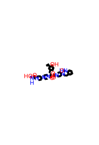 C=Cc1cc(C[C@@H](OC(=O)N2CCC(N3CCc4ccccc4NC3=O)CC2)C(=O)N2CCN(C3CCN(CC(=O)NO)CC3)CC2)ccc1O